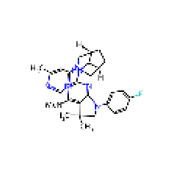 CNc1nc(NC2[C@@H]3CC[C@H]2CN(c2cc(C)ncn2)C3)nc2c1C(C)(C)CN2c1ccc(F)cc1